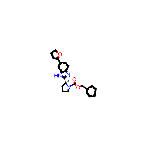 O=C(OCc1ccccc1)N1CCC[C@H]1c1nc2ccc(-c3ccco3)cc2[nH]1